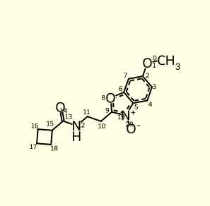 COc1ccc2c(c1)oc(CCNC(=O)C1CCC1)[n+]2[O-]